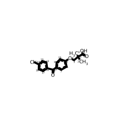 CC(C)(COc1ccc(C(=O)c2ccc(Cl)cc2)cc1)C(=O)O